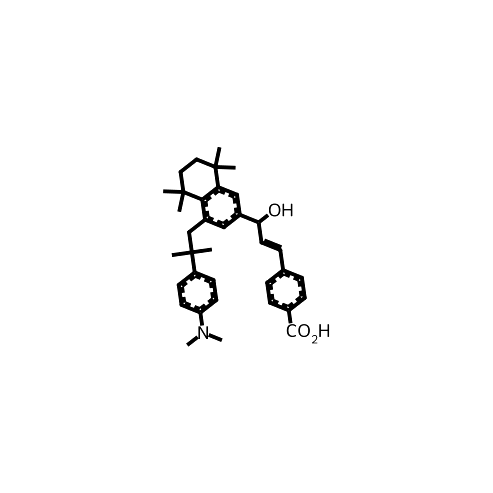 CN(C)c1ccc(C(C)(C)Cc2cc(C(O)C=Cc3ccc(C(=O)O)cc3)cc3c2C(C)(C)CCC3(C)C)cc1